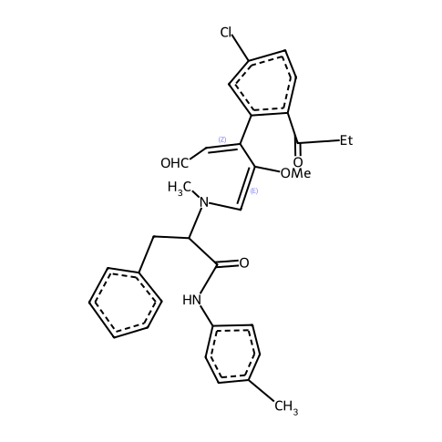 CCC(=O)c1ccc(Cl)cc1C(=C/C=O)/C(=C\N(C)C(Cc1ccccc1)C(=O)Nc1ccc(C)cc1)OC